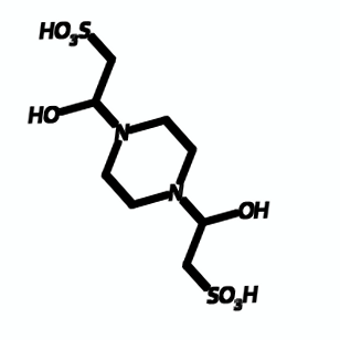 O=S(=O)(O)CC(O)N1CCN(C(O)CS(=O)(=O)O)CC1